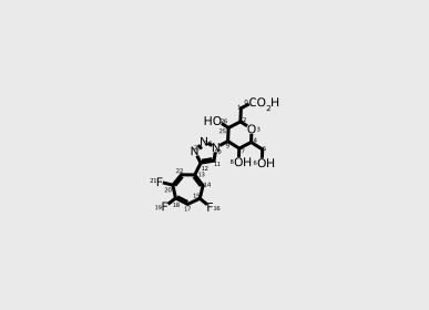 O=C(O)CC1OC(CO)C(O)C(n2cc(C3=CC(F)C=C(F)C(F)=C3)nn2)C1O